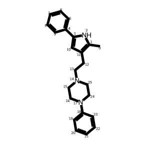 Cc1[nH]c(-c2ccccc2)cc1CCN1CCN(c2ccccc2)CC1